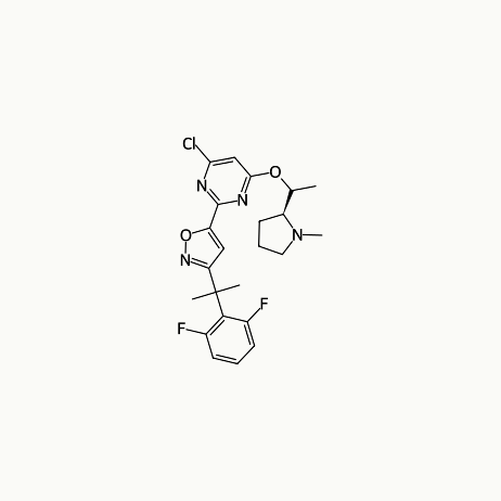 CC(Oc1cc(Cl)nc(-c2cc(C(C)(C)c3c(F)cccc3F)no2)n1)[C@@H]1CCCN1C